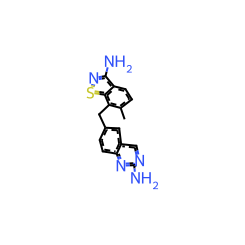 Cc1ccc2c(N)nsc2c1Cc1ccc2nc(N)ncc2c1